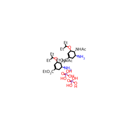 CCOC(=O)C1=C[C@@H](OC(CC)CC)[C@H](NC(C)=O)[C@@H](N)C1.CCOC(=O)C1=C[C@@H](OC(CC)CC)[C@H](NC(C)=O)[C@@H](N)C1.O=P(O)(O)O.O=P(O)(O)O